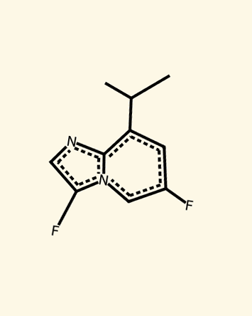 CC(C)c1cc(F)cn2c(F)cnc12